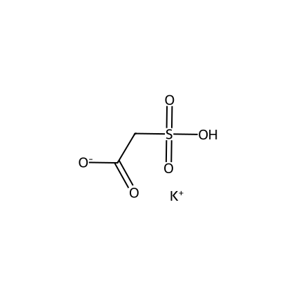 O=C([O-])CS(=O)(=O)O.[K+]